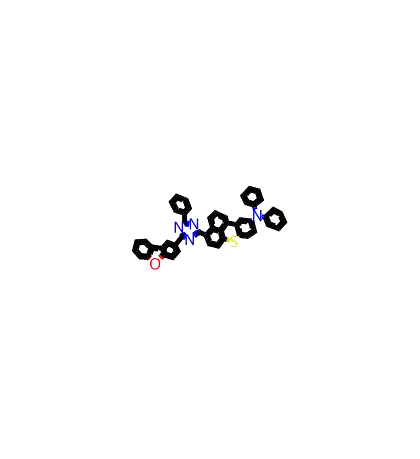 c1ccc(-c2nc(-c3ccc4oc5ccccc5c4c3)nc(-c3ccc4c5c(cccc35)-c3cc(N(c5ccccc5)c5ccccc5)ccc3S4)n2)cc1